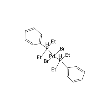 CC[PH](CC)(c1ccccc1)[Pd]([Br])([Br])[PH](CC)(CC)c1ccccc1